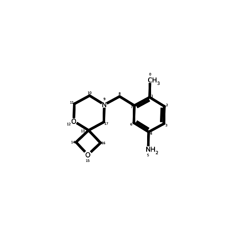 Cc1ccc(N)cc1CN1CCOC2(COC2)C1